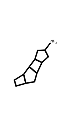 NC1CC2C(C1)C1C3CCC3CC21